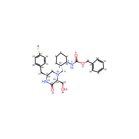 O=C(N[C@@H]1CCCC[C@H]1CN1C[C@H](Cc2ccc(F)cc2)NC(=O)[C@@H]1CO)OCc1ccccc1